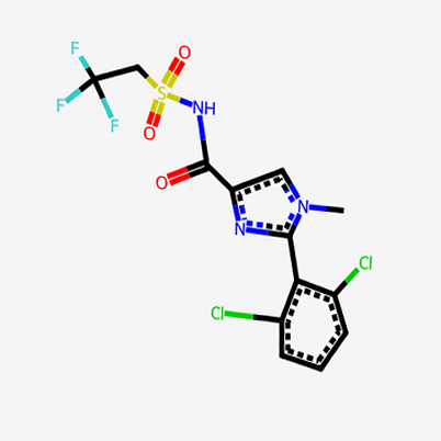 Cn1cc(C(=O)NS(=O)(=O)CC(F)(F)F)nc1-c1c(Cl)cccc1Cl